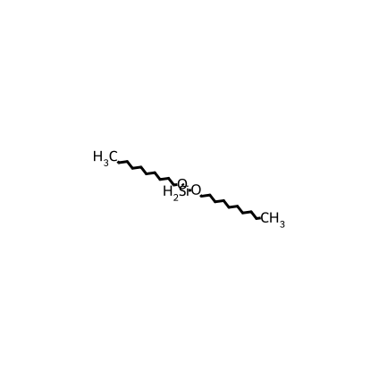 CCCCCCCCCCO[SiH2]OCCCCCCCCCC